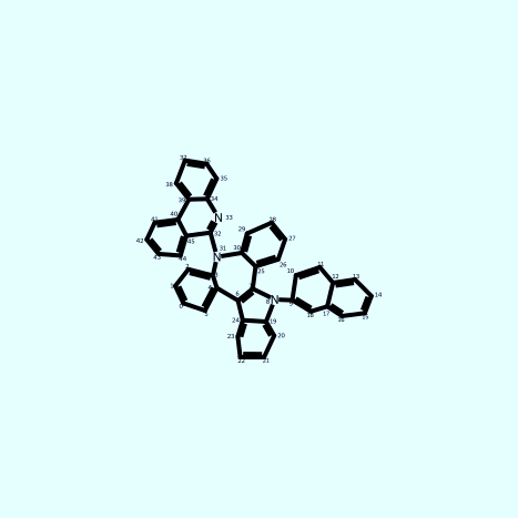 c1ccc2c(c1)-c1c(n(-c3ccc4ccccc4c3)c3ccccc13)-c1ccccc1N2c1nc2ccccc2c2ccccc12